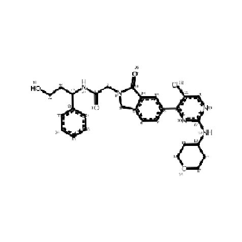 O=C(CN1Cc2ccc(-c3nc(NC4CCOCC4)ncc3Cl)cc2C1=O)NC(CCO)c1ccccc1